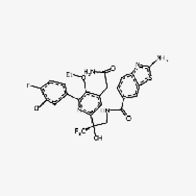 CCOc1c(CC(N)=O)cc([C@@](O)(CNC(=O)c2ccc3nc(N)sc3c2)C(F)(F)F)nc1-c1ccc(F)c(Cl)c1